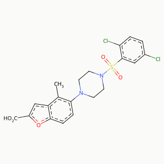 Cc1c(N2CCN(S(=O)(=O)c3cc(Cl)ccc3Cl)CC2)ccc2oc(C(=O)O)cc12